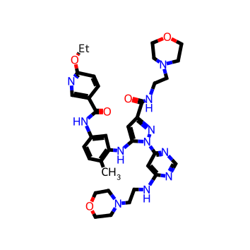 CCOc1ccc(C(=O)Nc2ccc(C)c(Nc3cc(C(=O)NCCN4CCOCC4)nn3-c3cc(NCCN4CCOCC4)ncn3)c2)cn1